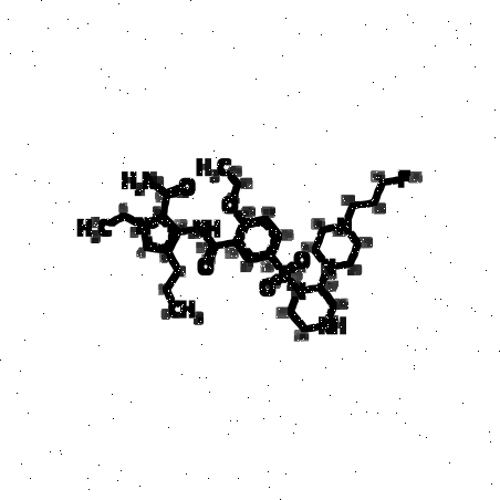 CCCc1cn(CC)c(C(N)=O)c1NC(=O)c1cc(S(=O)(=O)N2CCNCC2N2CCN(CCCF)CC2)ccc1OCC